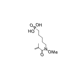 C=C(C)C(=O)N(CCCCCP(=O)(O)O)OC